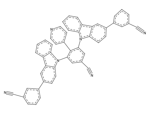 N#Cc1cccc(-c2ccc3c(c2)c2ccccc2n3-c2cc(C#N)cc(-n3c4ccccc4c4cc(-c5cccc(C#N)c5)ccc43)c2-c2ccncc2)c1